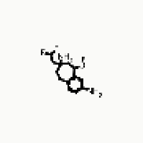 COC1CC(N)(CC(F)F)CCc2ccc(N)cc21